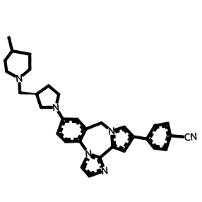 CC1CCN(C[C@H]2CCN(c3ccc4c(c3)Cn3cc(-c5ccc(C#N)cc5)cc3-c3nccn3-4)C2)CC1